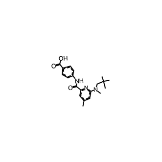 Cc1cc(C(=O)Nc2ccc(C(=O)O)cc2)nc(N(C)CC(C)(C)C)c1